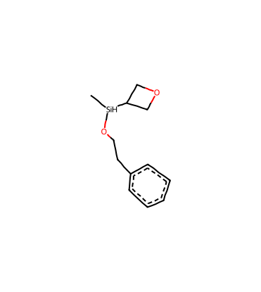 C[SiH](OCCc1ccccc1)C1COC1